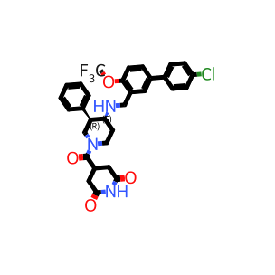 O=C1CC(C(=O)N2CC[C@H](NCc3cc(-c4ccc(Cl)cc4)ccc3OC(F)(F)F)[C@H](c3ccccc3)C2)CC(=O)N1